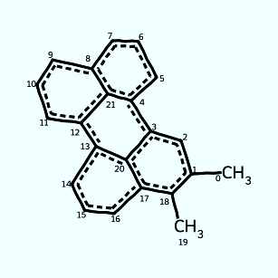 Cc1cc2c3cccc4cccc(c5cccc(c1C)c52)c43